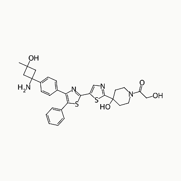 CC1(O)CC(N)(c2ccc(-c3nc(-c4cnc(C5(O)CCN(C(=O)CO)CC5)s4)sc3-c3ccccc3)cc2)C1